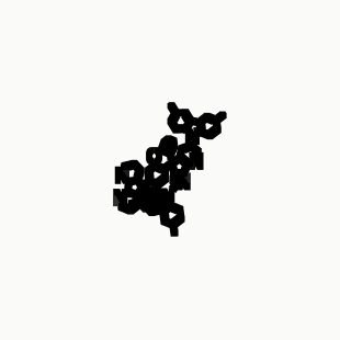 Cc1ccc2c(c1)c1cc(C)ccc1n2-c1cnc2c(c1)C1(c3ccccc3Oc3cc4c(cc31)-c1ccccc1C41c3cccnc3-c3ncccc31)c1cc(-n3c4ccc(C)cc4c4cc(C)ccc43)cnc1-2